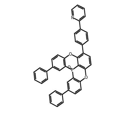 O=P12c3cc(-c4ccccc4)ccc3Oc3ccc(-c4ccc(-c5ccccn5)cc4)c(c31)Oc1ccc(-c3ccccc3)cc12